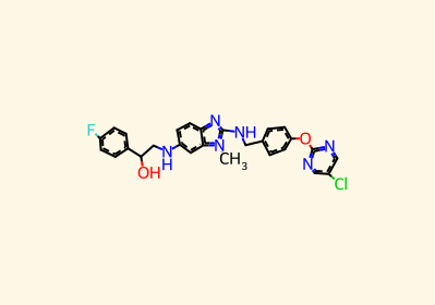 Cn1c(NCc2ccc(Oc3ncc(Cl)cn3)cc2)nc2ccc(NCC(O)c3ccc(F)cc3)cc21